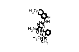 CN1CCc2cc(F)c(Nc3nnc(C(N)=O)c(Nc4ccccc4S(=O)(=O)N(C)C)n3)cc2C1